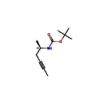 CC#CC[C@@H](C)NC(=O)OC(C)(C)C